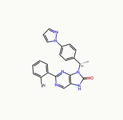 CC(C)c1ccccc1-c1ncc2[nH]c(=O)n([C@@H](C)c3ccc(-n4cccn4)cc3)c2n1